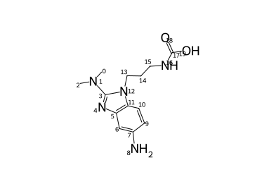 CN(C)c1nc2cc(N)ccc2n1CCCNC(=O)O